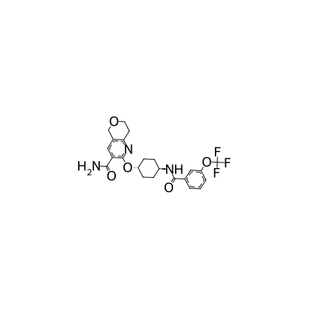 NC(=O)c1cc2c(nc1O[C@H]1CC[C@H](NC(=O)c3cccc(OC(F)(F)F)c3)CC1)CCOC2